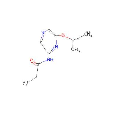 CCC(=O)Nc1cncc(OC(C)C)n1